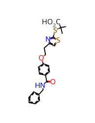 CC(C)(Sc1nc(CCOc2ccc(C(=O)NCc3ccccc3)cc2)cs1)C(=O)O